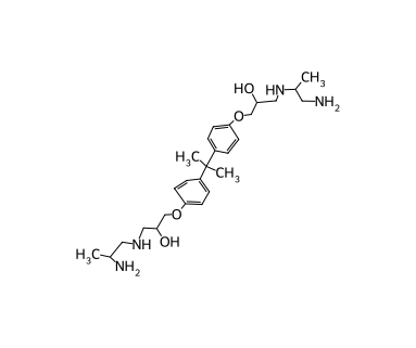 CC(N)CNCC(O)COc1ccc(C(C)(C)c2ccc(OCC(O)CNC(C)CN)cc2)cc1